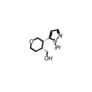 CC(C)n1nccc1[C@H]1COCC[C@H]1CO